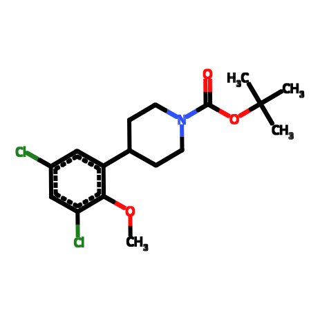 COc1c(Cl)cc(Cl)cc1C1CCN(C(=O)OC(C)(C)C)CC1